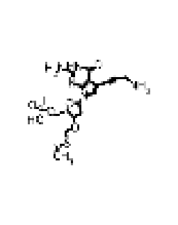 CSSCOC1C[C@H](n2cc(C#CCN)c3c(=O)[nH]c(N)nc32)O[C@@H]1CO[PH](=O)O